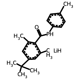 Cc1ccc(PC(=O)c2c(C)cc(C(C)(C)C)cc2C)cc1.[LiH]